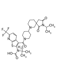 CC(C)N1C(=O)CC2(CCCN(C3CCN(C(=O)c4c(N(C(=O)O)C(C)(C)C)sc5nc(C(F)(F)F)ccc45)CC3)C2)C1=O